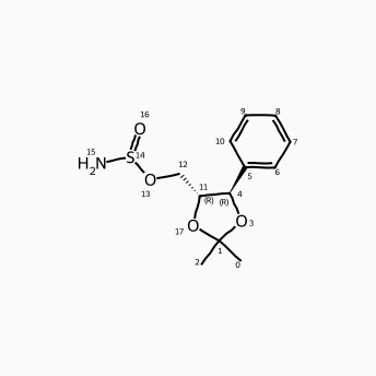 CC1(C)O[C@H](c2ccccc2)[C@@H](COS(N)=O)O1